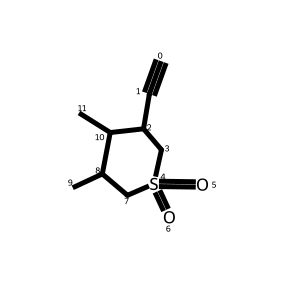 C#CC1CS(=O)(=O)CC(C)C1C